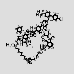 CN(CCCCCCCn1cc(COCCOCCNc2cccc3c2C(=O)N(C2CCC(=O)NC2=O)C3=O)nn1)CC[C@H](CSc1ccccc1)Nc1ccc(S(=O)(=O)NC(=O)c2ccc(N3CCN(CC4=C(c5ccc(Cl)cc5)CCC(C)(C)C4)CC3)cc2)cc1S(=O)(=O)C(F)(F)F